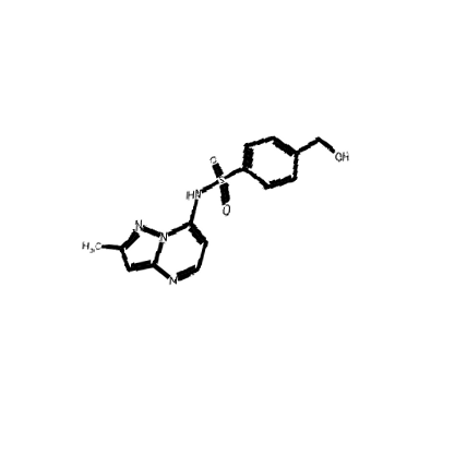 Cc1cc2nccc(NS(=O)(=O)c3ccc(CO)cc3)n2n1